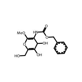 COC1=C(NC(=O)OCc2ccccc2)C(O)C(O)=C(CO)O1